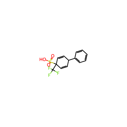 O=S(=O)(O)C1(C(F)(F)F)C=CC(c2ccccc2)C=C1